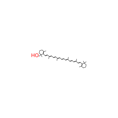 CC1=C(/C=C/C(C)=C/C=C/C(C)=C/C=C/C=C(C)/C=C/C=C(C)/C=C/C2=C(C)CCCC2(C)CO)C(C)(C)CCC1